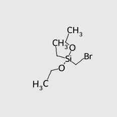 CCO[Si](CC)(CBr)OCC